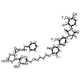 CC(C)(C)[C@H](NC(=O)COCCCCOc1c(F)cc(-c2ncc(N3C(=S)N(c4ccc(C#N)c(C(F)(F)F)c4F)C(=O)C3(C)C)cc2C(F)(F)F)cc1F)C(=O)N1C[C@H](O)C[C@H]1C1OC1NCc1ccccc1